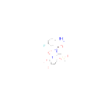 CCOc1nc([C@H](CS(C)(=O)=O)N2C(=O)c3c(N)ccc(F)c3C2=O)ccc1OC